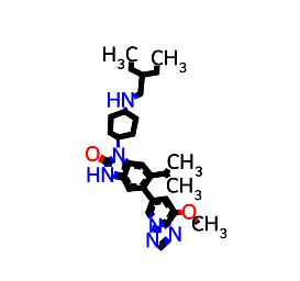 CCC(CC)CN[C@H]1CC[C@@H](n2c(=O)[nH]c3cc(-c4cc(OC)c5ncnn5c4)c(C(C)C)cc32)CC1